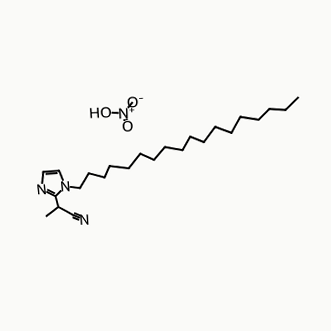 CCCCCCCCCCCCCCCCCCn1ccnc1C(C)C#N.O=[N+]([O-])O